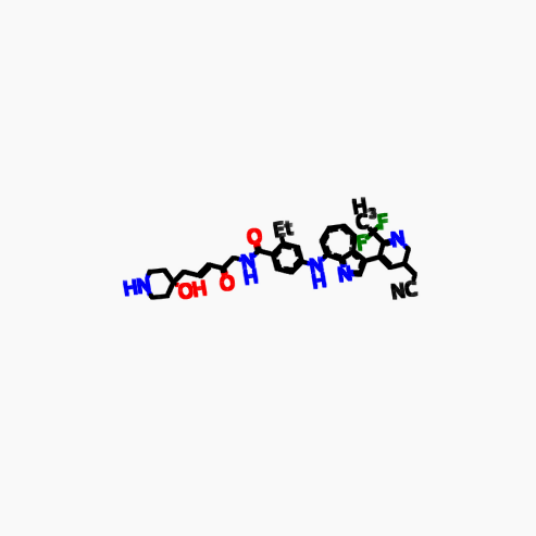 CCc1cc(Nc2ccccc3c(C4=CC(CC#N)CN=C4C(C)(F)F)cnc2-3)ccc1C(=O)NCC(=O)/C=C/CC1(O)CCNCC1